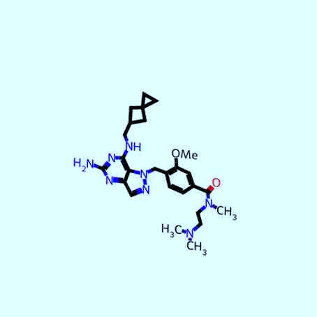 COc1cc(C(=O)N(C)CCN(C)C)ccc1Cn1ncc2nc(N)nc(NCC3CC4(CC4)C3)c21